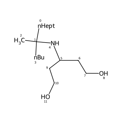 CCCCCCCC(C)(CCCC)NC(CCO)CCO